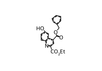 CCOC(=O)c1cc(C(=O)OCc2ccccc2)c2cc(O)ccc2n1